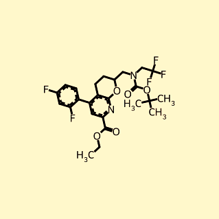 CCOC(=O)c1cc(-c2ccc(F)cc2F)c2c(n1)OC(CN(CC(F)(F)F)C(=O)OC(C)(C)C)CC2